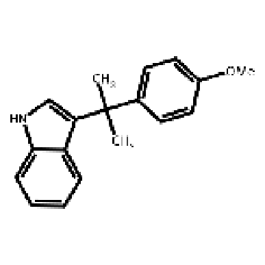 COc1ccc(C(C)(C)c2c[nH]c3ccccc23)cc1